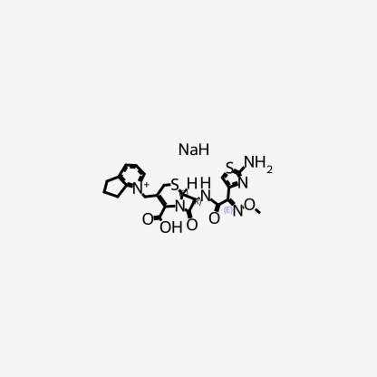 CO/N=C(/C(=O)N[C@@H]1C(=O)N2C(C(=O)O)=C(C[n+]3cccc4c3CCC4)CS[C@H]12)c1csc(N)n1.[NaH]